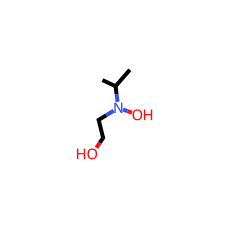 CC(C)N(O)CCO